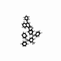 Brc1cc(N(c2ccccc2)c2ccccc2)cc(N(c2ccccc2)c2ccc3c(c2)sc2cc(-c4ccccc4)c4ccccc4c23)c1